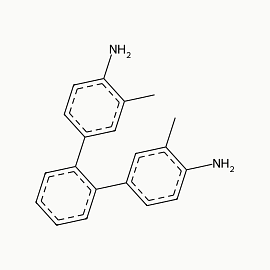 Cc1cc(-c2ccccc2-c2ccc(N)c(C)c2)ccc1N